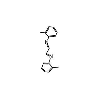 Cc1ccccc1N=CC=Nc1ccccc1C